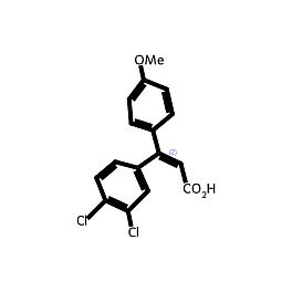 COc1ccc(/C(=C/C(=O)O)c2ccc(Cl)c(Cl)c2)cc1